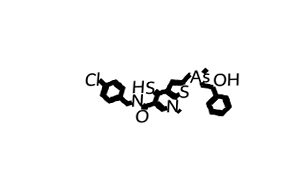 Cn1cc(C(=O)NCc2ccc(Cl)cc2)c(=S)c2cc(C[As](C)CC(O)c3ccccc3)sc21